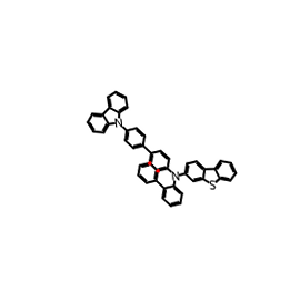 c1ccc(-c2ccccc2N(c2ccc(-c3ccc(-n4c5ccccc5c5ccccc54)cc3)cc2)c2ccc3c(c2)sc2ccccc23)cc1